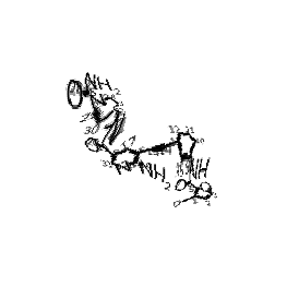 Cc1ccoc1C(=O)Nc1cccc(C#Cc2cc(C(=O)N=S3CCN(C(N)=O)CC3)cnc2N)c1